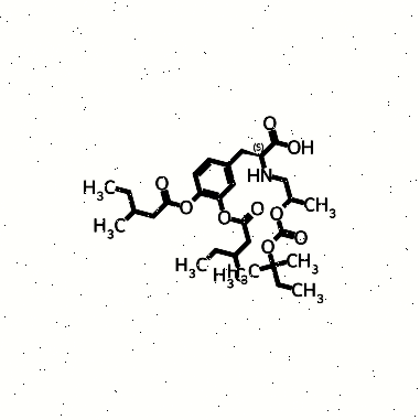 CCC(C)CC(=O)Oc1ccc(C[C@H](NCC(C)OC(=O)OC(C)(C)CC)C(=O)O)cc1OC(=O)CC(C)CC